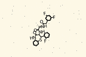 C[C@H](NC(=O)Cc1cc(F)cc(F)c1)C(=O)NC1C(=O)Nc2ccccc2SC1c1ccccc1F